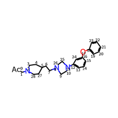 CC(=O)CN1CCC(CCN2CCN(c3cccc(Oc4ccccc4)c3)CC2)CC1